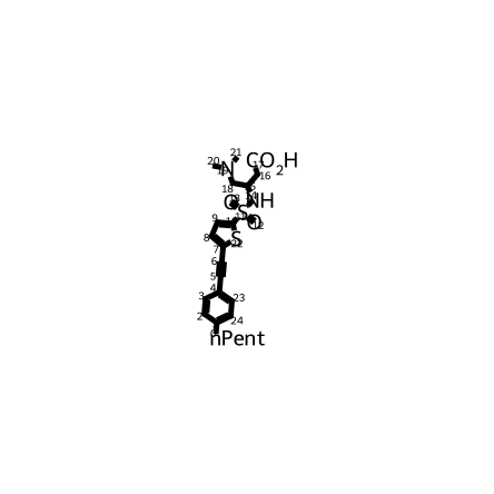 CCCCCc1ccc(C#Cc2ccc(S(=O)(=O)NC(CC(=O)O)CN(C)C)s2)cc1